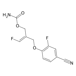 N#Cc1ccc(OCC(=CF)COC(N)=O)c(F)c1